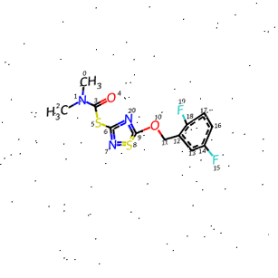 CN(C)C(=O)Sc1nsc(OCc2cc(F)ccc2F)n1